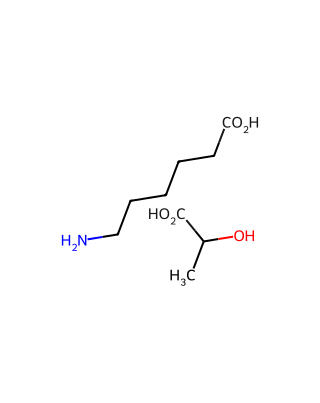 CC(O)C(=O)O.NCCCCCC(=O)O